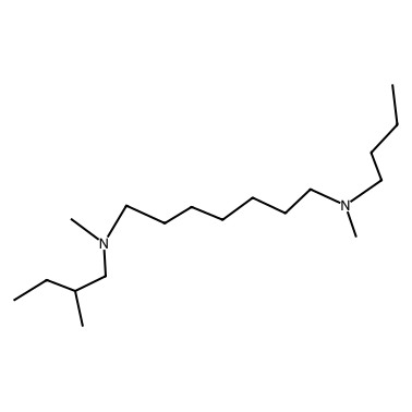 CCCCN(C)CCCCCCCN(C)CC(C)CC